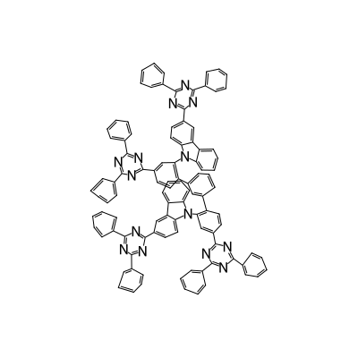 c1ccc(-c2nc(-c3ccccc3)nc(-c3ccc(-c4cccc(-c5ccc(-c6nc(-c7ccccc7)nc(-c7ccccc7)n6)cc5-n5c6ccccc6c6cc(-c7nc(-c8ccccc8)nc(-c8ccccc8)n7)ccc65)c4)c(-n4c5ccccc5c5cc(-c6nc(-c7ccccc7)nc(-c7ccccc7)n6)ccc54)c3)n2)cc1